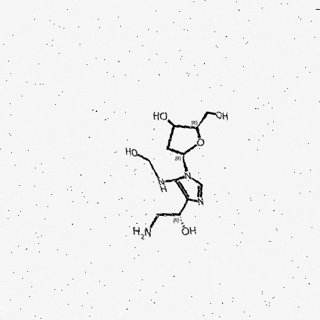 NC[C@@H](O)c1ncn([C@H]2CC(O)[C@@H](CO)O2)c1NCO